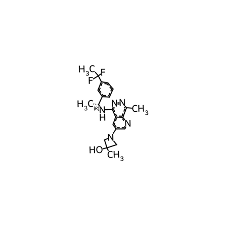 Cc1nnc(N[C@H](C)c2cccc(C(C)(F)F)c2)c2cc(N3CC(C)(O)C3)cnc12